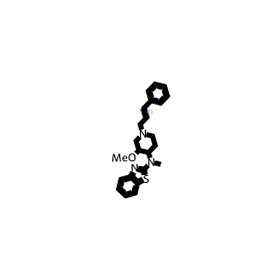 COC1CN(C/C=C/c2ccccc2)CCC1N(C)c1nc2ccccc2s1